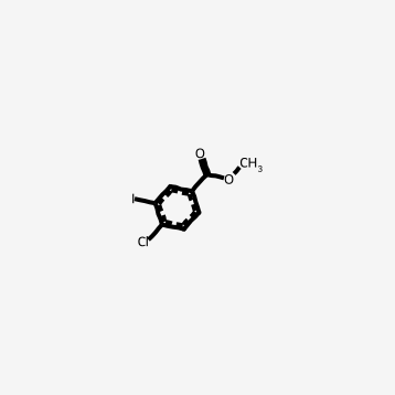 COC(=O)c1ccc(Cl)c(I)c1